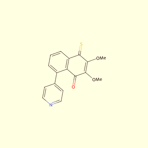 COC1=C(OC)C(=S)c2cccc(-c3ccncc3)c2C1=O